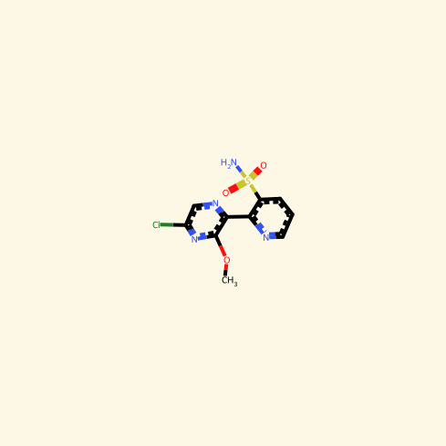 COc1nc(Cl)cnc1-c1ncccc1S(N)(=O)=O